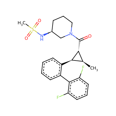 C[C@@H]1[C@@H](C(=O)N2CCC[C@H](NS(C)(=O)=O)C2)[C@@H]1c1ccccc1-c1c(F)cccc1F